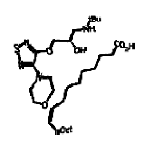 CC(C)(C)NC[C@H](O)COc1nsnc1N1CCOCC1.CCCCCCCC/C=C\CCCCCCCC(=O)O